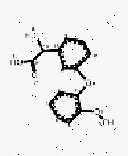 COc1ccccc1Oc1cccc(C(C)C(=O)O)c1